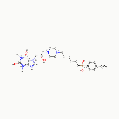 COc1ccc(S(=O)(=O)CCCCCCN2CCN(CC(O)Cn3cnc4c3c(=O)n(C)c(=O)n4C)CC2)cc1